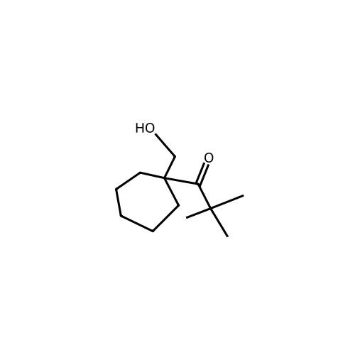 CC(C)(C)C(=O)C1(CO)CCCCC1